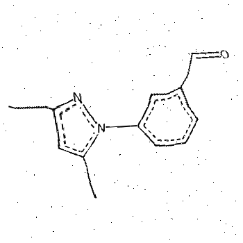 Cc1cc(C)n(-c2cccc([C]=O)c2)n1